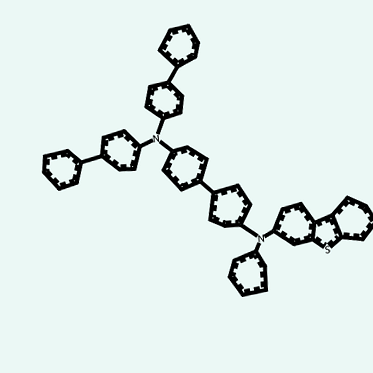 c1ccc(-c2ccc(N(c3ccc(-c4ccccc4)cc3)c3ccc(-c4ccc(N(c5ccccc5)c5ccc6c(c5)sc5ccccc56)cc4)cc3)cc2)cc1